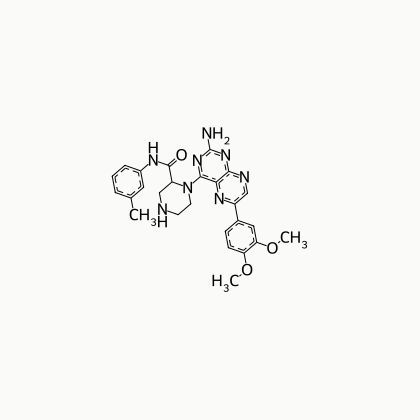 COc1ccc(-c2cnc3nc(N)nc(N4CCNCC4C(=O)Nc4cccc(C)c4)c3n2)cc1OC